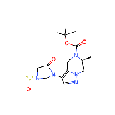 C[C@H]1Cn2ncc(N3CN([S+](C)[O-])CC3=O)c2CN1C(=O)OC(C)(C)C